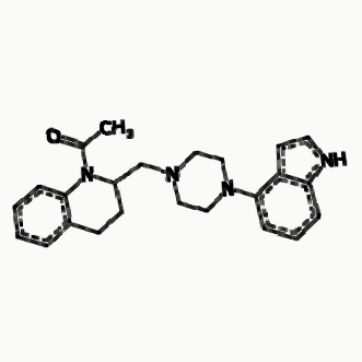 CC(=O)N1c2ccccc2CCC1CN1CCN(c2cccc3[nH]ccc23)CC1